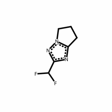 FC(F)c1nc2n(n1)CCC2